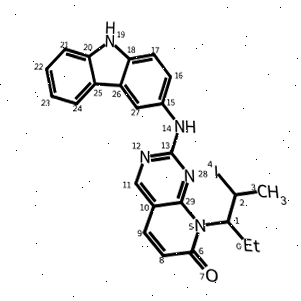 CCC(C(C)I)n1c(=O)ccc2cnc(Nc3ccc4[nH]c5ccccc5c4c3)nc21